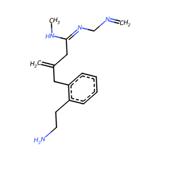 C=NC/N=C(\CC(=C)Cc1ccccc1CCN)NC